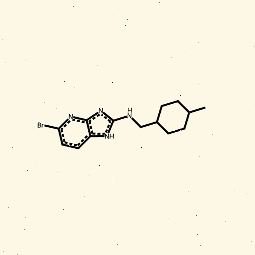 CC1CCC(CNc2nc3nc(Br)ccc3[nH]2)CC1